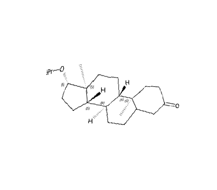 CC(C)O[C@H]1CC[C@H]2[C@@H]3CCC4CC(=O)CC[C@]4(C)[C@H]3CC[C@]12C